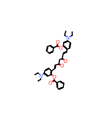 CCN(CC)c1ccc(C=CC(=O)CC(=O)C=Cc2ccc(N(CC)CC)cc2OC(=O)c2ccccc2)c(OC(=O)c2ccccc2)c1